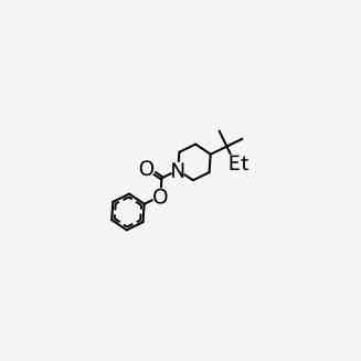 CCC(C)(C)C1CCN(C(=O)Oc2ccccc2)CC1